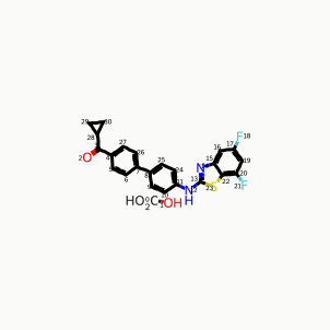 O=C(O)O.O=C(c1ccc(-c2ccc(Nc3nc4cc(F)cc(F)c4s3)cc2)cc1)C1CC1